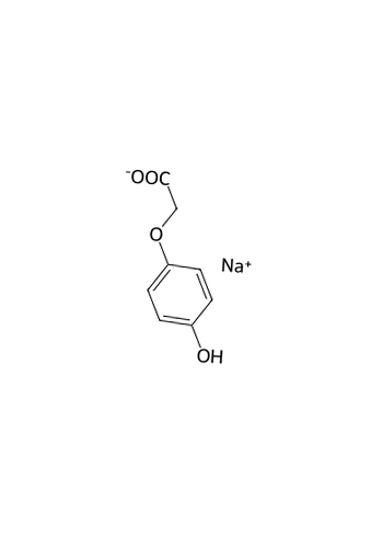 O=C([O-])COc1ccc(O)cc1.[Na+]